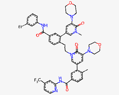 CCc1cccc(NC(=O)c2ccc(CCn3cc(-c4cc(C(=O)Nc5cc(C(F)(F)F)ccn5)ccc4C)cc(N4CCOCC4)c3=O)c(-c3cc(N4CCOCC4)c(=O)n(C)c3)c2)c1